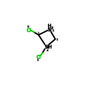 ClC1[SiH2]C[SiH]1Cl